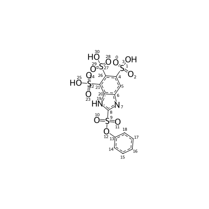 O=S(=O)(O)c1cc2nc(S(=O)(=O)Oc3ccccc3)[nH]c2c(S(=O)(=O)O)c1S(=O)(=O)O